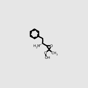 CC1(OO)OC1[C@H](N)Cc1ccccc1